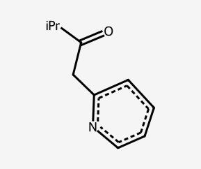 CC(C)C(=O)Cc1ccccn1